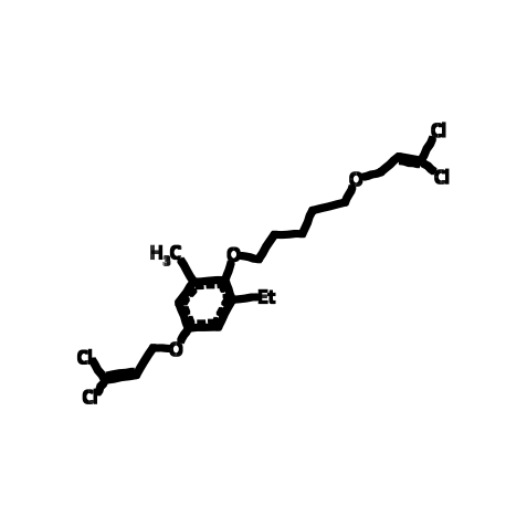 CCc1cc(OCC=C(Cl)Cl)cc(C)c1OCCCCCOCC=C(Cl)Cl